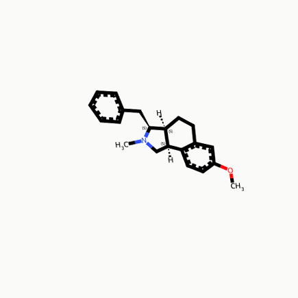 COc1ccc2c(c1)CC[C@H]1[C@@H]2CN(C)[C@H]1Cc1ccccc1